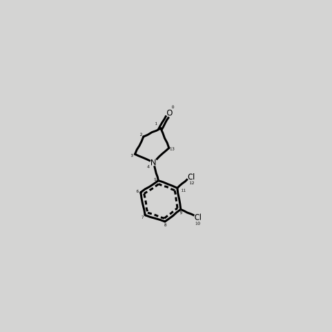 O=C1CCN(c2cccc(Cl)c2Cl)C1